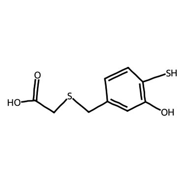 O=C(O)CSCc1ccc(S)c(O)c1